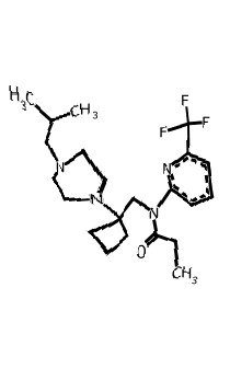 CCC(=O)N(CC1(N2CCN(CC(C)C)CC2)CCC1)c1cccc(C(F)(F)F)n1